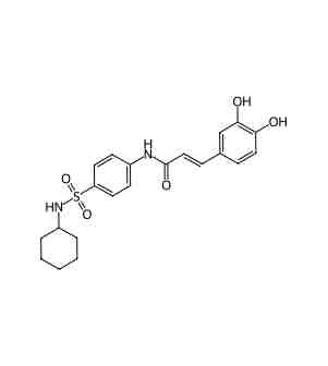 O=C(/C=C/c1ccc(O)c(O)c1)Nc1ccc(S(=O)(=O)NC2CCCCC2)cc1